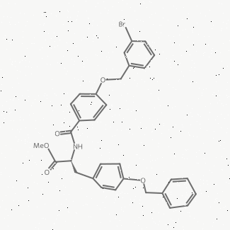 COC(=O)[C@H](Cc1ccc(OCc2ccccc2)cc1)NC(=O)c1ccc(OCc2cccc(Br)c2)cc1